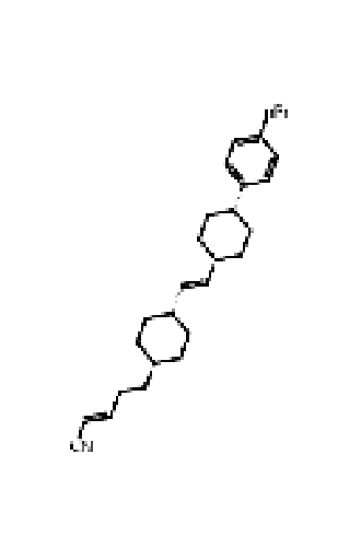 CCCc1ccc([C@H]2CC[C@H](C=C[C@H]3CC[C@H](CCC=CC#N)CC3)CC2)cc1